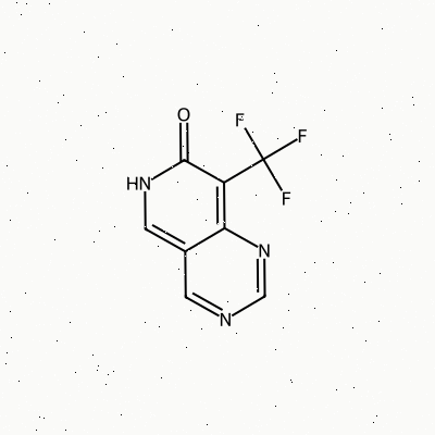 O=c1[nH]cc2cncnc2c1C(F)(F)F